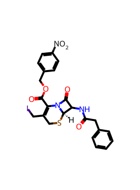 O=C(Cc1ccccc1)NC1C(=O)N2C(C(=O)OCc3ccc([N+](=O)[O-])cc3)=C(CI)CS[C@H]12